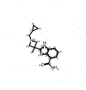 CC1(c2nc3c(C(N)=O)cccc3[nH]2)CN(CC2CC2)C1